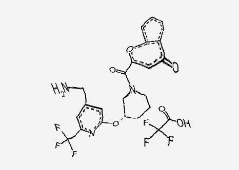 NCc1cc(O[C@H]2CCCN(C(=O)c3cc(=O)c4ccccc4o3)C2)nc(C(F)(F)F)c1.O=C(O)C(F)(F)F